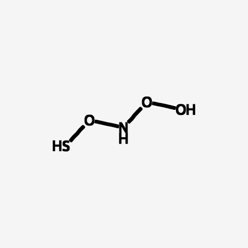 OONOS